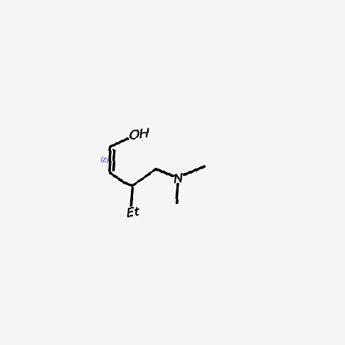 CCC(/C=C\O)CN(C)C